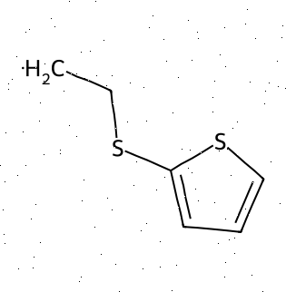 [CH2]CSc1cccs1